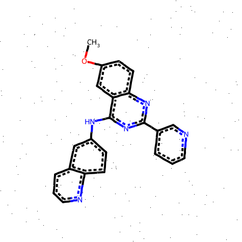 COc1ccc2nc(-c3cccnc3)nc(Nc3ccc4ncccc4c3)c2c1